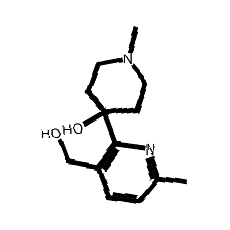 Cc1ccc(CO)c(C2(O)CCN(C)CC2)n1